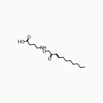 CCCCCCCC=CC(=O)CONCCCC(=O)O